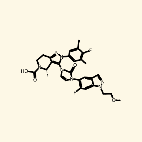 COCCn1ncc2cc(-n3ccn(-c4c5c(nn4-c4cc(C)c(F)c(C)c4)CCN(C(=O)O)[C@H]5C)c3=O)c(F)cc21